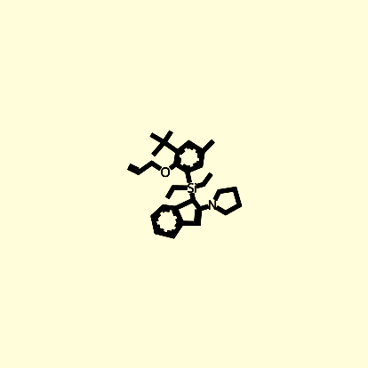 C=CCOc1c(C(C)(C)C)cc(C)cc1[Si](CC)(CC)C1C(N2CCCC2)=Cc2ccccc21